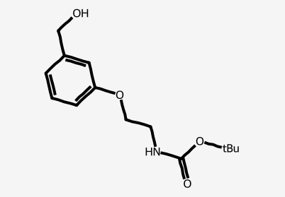 CC(C)(C)OC(=O)NCCOc1cccc(CO)c1